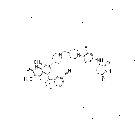 Cc1cc2c(N3CCCc4ccc(C#N)cc43)cc(C3CCN(CC4CCN(c5ncc(NC6CCC(=O)NC6=O)cc5F)CC4)CC3)cc2n(C)c1=O